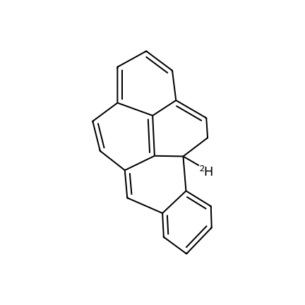 [2H]C12CC=c3cccc4ccc(c1c34)=Cc1ccccc12